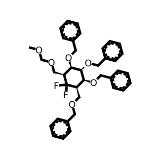 COCOC[C@H]1[C@@H](OCc2ccccc2)[C@H](OCc2ccccc2)[C@@H](OCc2ccccc2)[C@@H](COCc2ccccc2)C1(F)F